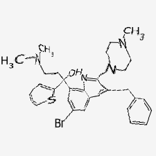 CN(C)CCC(O)(c1cccs1)c1cc(Br)cc2cc(Cc3ccccc3)c(N3CCN(C)CC3)nc12